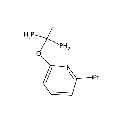 CC(C)c1cccc(OC(C)(P)P)n1